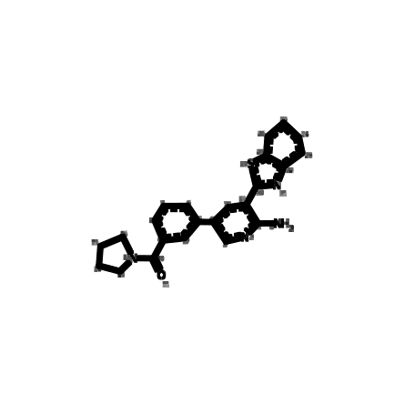 Nc1ncc(-c2cccc(C(=O)N3CCCC3)c2)cc1-c1nc2ccccc2s1